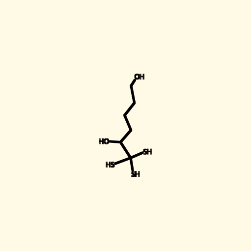 OCCCCC(O)C(S)(S)S